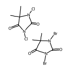 CC1(C)C(=O)N(Br)C(=O)N1Br.CC1(C)C(=O)N(Cl)C(=O)N1Cl